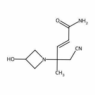 CC(C=CC(N)=O)(CC#N)N1CC(O)C1